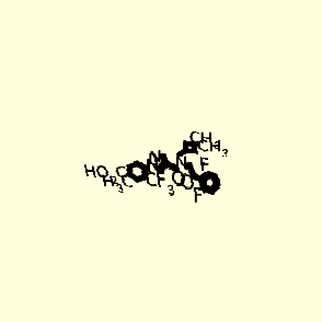 CC1(C)CC(CN(CC(=O)c2c(F)cccc2F)C(=O)c2cnn(C3CCC(C)(C(=O)O)CC3)c2C(F)(F)F)C1